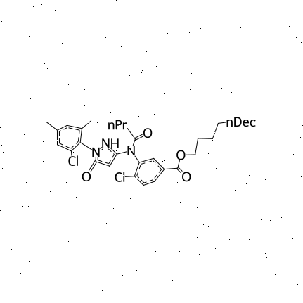 CCCCCCCCCCCCCCOC(=O)c1ccc(Cl)c(N(C(=O)CCC)c2cc(=O)n(-c3c(C)cc(C)cc3Cl)[nH]2)c1